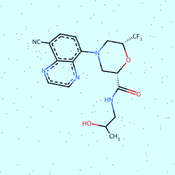 CC(O)CNC(=O)[C@@H]1CN(c2ccc(C#N)c3nccnc23)C[C@H](C(F)(F)F)O1